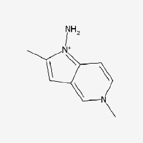 Cc1cc2cn(C)ccc-2[n+]1N